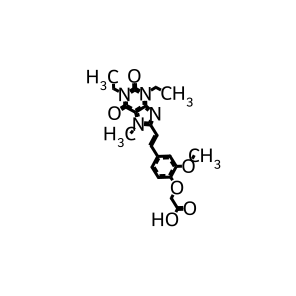 CCn1c(=O)c2c(nc(/C=C/c3ccc(OCC(=O)O)c(OC)c3)n2C)n(CC)c1=O